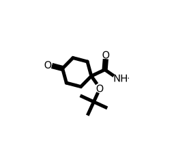 CC(C)(C)OC1(C([NH])=O)CCC(=O)CC1